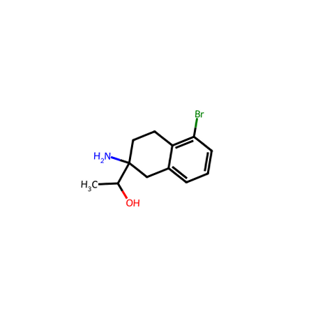 CC(O)C1(N)CCc2c(Br)cccc2C1